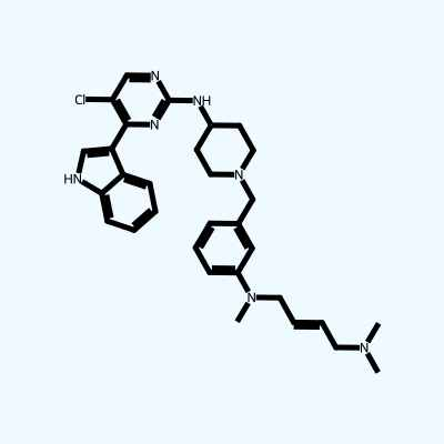 CN(C)C/C=C/CN(C)c1cccc(CN2CCC(Nc3ncc(Cl)c(-c4c[nH]c5ccccc45)n3)CC2)c1